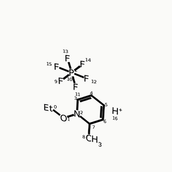 CCON1C=CC=CC1C.F[P-](F)(F)(F)(F)F.[H+]